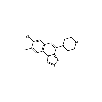 Clc1cc2nc(N3CCNCC3)c3nnnn3c2cc1Cl